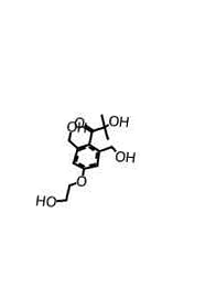 CC(C)(O)C(=O)c1c(CO)cc(OCCO)cc1CO